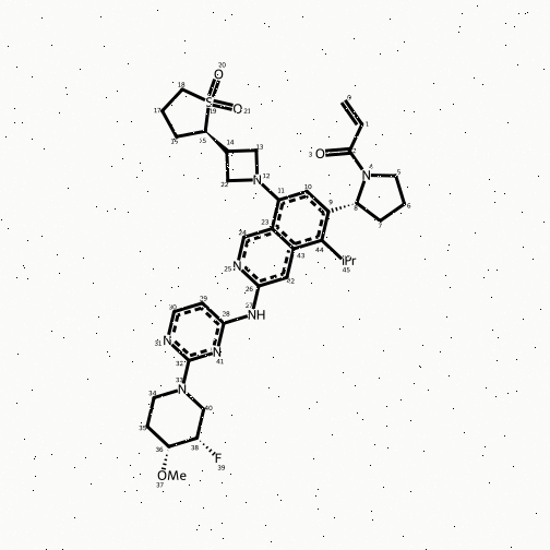 C=CC(=O)N1CCC[C@@H]1c1cc(N2CC([C@H]3CCCS3(=O)=O)C2)c2cnc(Nc3ccnc(N4CC[C@@H](OC)[C@@H](F)C4)n3)cc2c1C(C)C